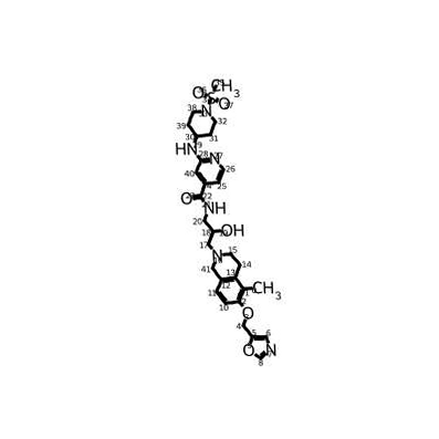 Cc1c(OCc2cnco2)ccc2c1CCN(CC(O)CNC(=O)c1ccnc(NC3CCN(S(C)(=O)=O)CC3)c1)C2